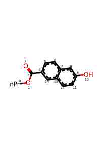 CCCOC(=O)c1ccc2cc(O)ccc2c1